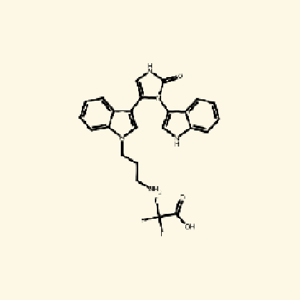 NCCCn1cc(-c2c[nH]c(=O)n2-c2c[nH]c3ccccc23)c2ccccc21.O=C(O)C(F)(F)F